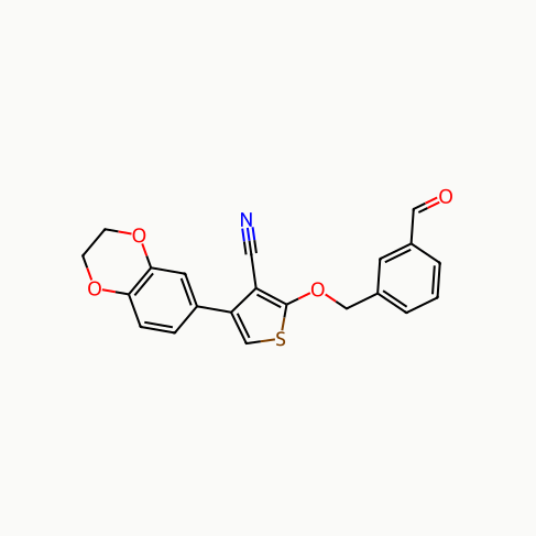 N#Cc1c(-c2ccc3c(c2)OCCO3)csc1OCc1cccc(C=O)c1